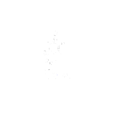 [CH2]/C=C1\CCCc2cnn(Cc3ccc(Cl)cc3Cl)c21